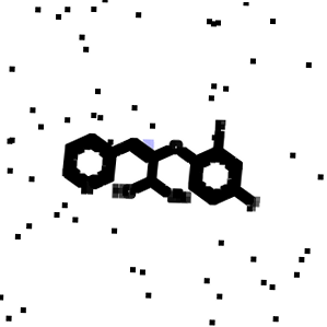 CC(C)(C)C(O)/C(=C\c1cccnc1)Oc1ccc(F)cc1F